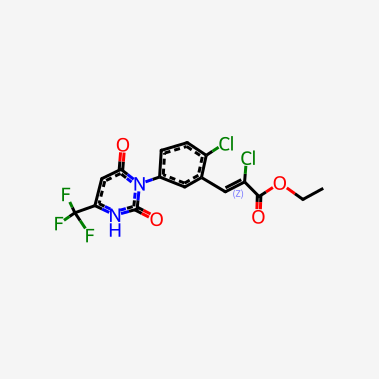 CCOC(=O)/C(Cl)=C/c1cc(-n2c(=O)cc(C(F)(F)F)[nH]c2=O)ccc1Cl